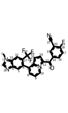 Cn1cnc2cc(-c3cccn4c(C(=O)c5ccc(F)c(C#N)c5)ccc34)c(C(F)(F)F)cc21